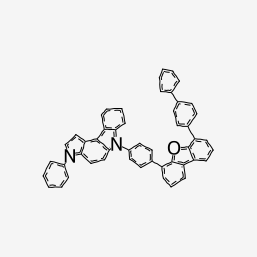 c1ccc(-c2ccc(-c3cccc4c3oc3c(-c5ccc(-n6c7ccccc7c7c8ccn(-c9ccccc9)c8ccc76)cc5)cccc34)cc2)cc1